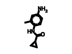 Cc1cc(N)ccc1NC(=O)C1CC1